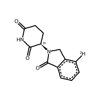 [2H]c1cccc2c1CN([C@@H]1CCC(=O)NC1=O)C2=O